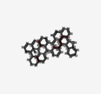 CC12C(=CC=CC1c1ccccc1N(c1cccc(-c3cccc4oc5ccccc5c34)c1)c1ccccc1-c1cccc3c1ccc1ccccc13)C=CC=C2C1CCCCC1